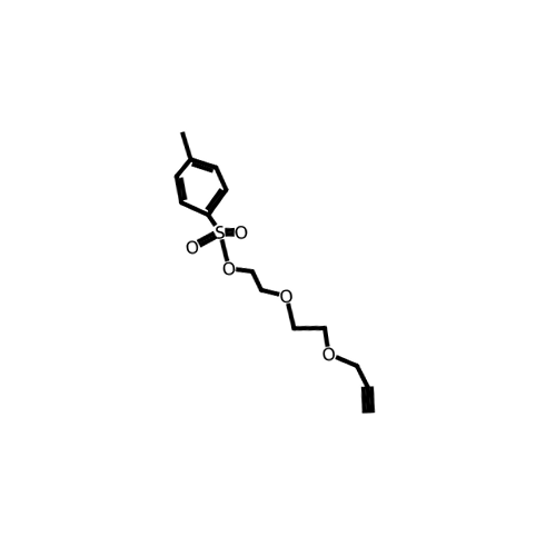 C#CCOCCOCCOS(=O)(=O)c1ccc(C)cc1